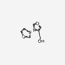 OCc1cocn1.c1cocn1